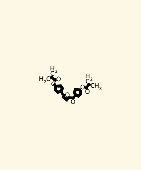 C=C(C)C(=O)Oc1ccc(C(=O)c2ccc(-c3ccc(OC(=O)C(=C)C)cc3)o2)cc1